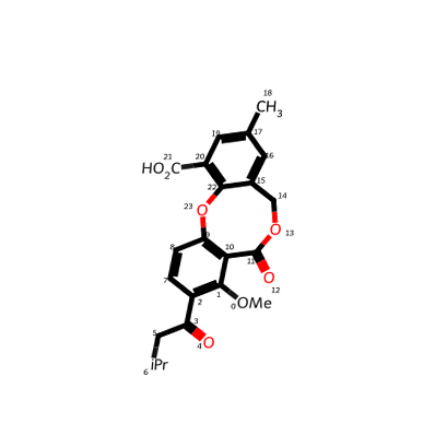 COc1c(C(=O)CC(C)C)ccc2c1C(=O)OCc1cc(C)cc(C(=O)O)c1O2